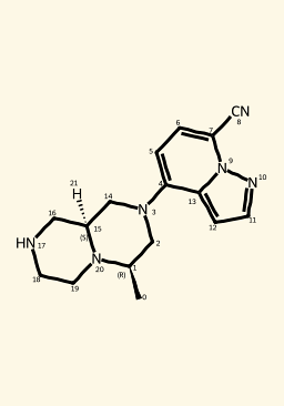 C[C@@H]1CN(c2ccc(C#N)n3nccc23)C[C@@H]2CNCCN21